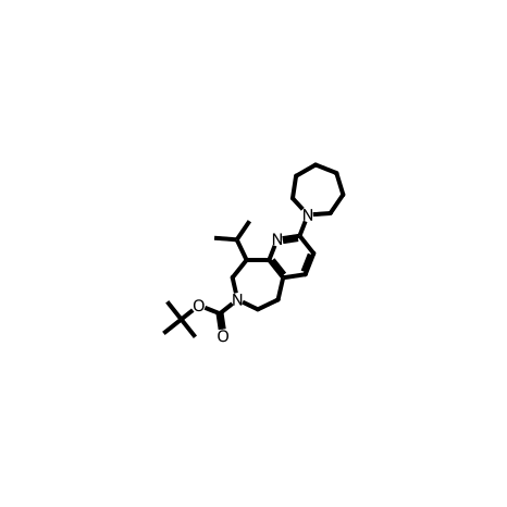 CC(C)C1CN(C(=O)OC(C)(C)C)CCc2ccc(N3CCCCCC3)nc21